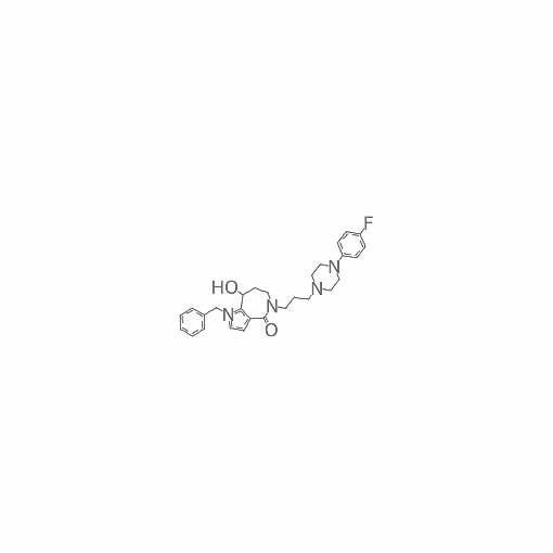 O=C1c2ccn(Cc3ccccc3)c2C(O)CCN1CCCN1CCN(c2ccc(F)cc2)CC1